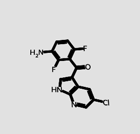 Nc1ccc(F)c(C(=O)c2c[nH]c3ncc(Cl)cc23)c1F